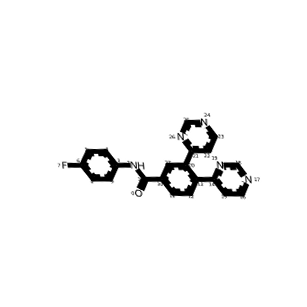 O=C(Nc1ccc(F)cc1)c1ccc(-c2ccncn2)c(-c2ccncn2)c1